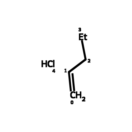 C=CCCC.Cl